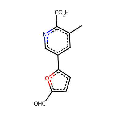 Cc1cc(-c2ccc(C=O)o2)cnc1C(=O)O